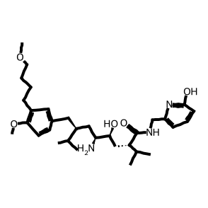 COCCCCc1cc(C[C@@H](C[C@H](N)[C@@H](O)C[C@H](C(=O)NCc2cccc(O)n2)C(C)C)C(C)C)ccc1OC